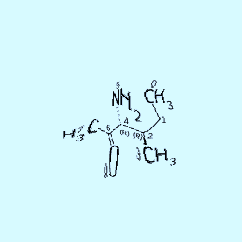 CC[C@@H](C)[C@@H](N)C(C)=O